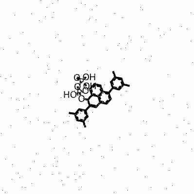 Cc1cc(C)cc(C2=Cc3ccc(-c4cc(C)cc(C)c4)c4cccc(c34)C2OP(=O)(O)OP(=O)(O)O)c1